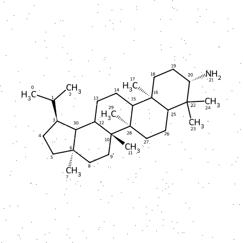 CC(C)[C@@H]1CC[C@]2(C)CC[C@]3(C)C(CCC4[C@@]5(C)CC[C@H](N)C(C)(C)C5CC[C@]43C)C12